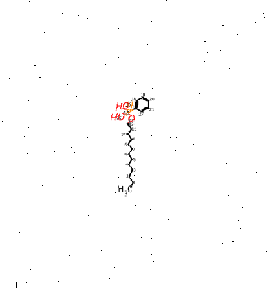 CCCCCCCCCCCCCO[PH](O)(O)c1ccccc1